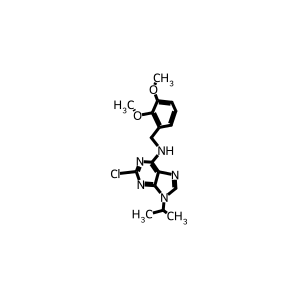 COc1cccc(CNc2nc(Cl)nc3c2ncn3C(C)C)c1OC